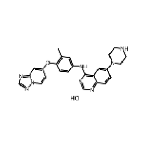 Cc1cc(Nc2ncnc3ccc(N4CCNCC4)cc23)ccc1Oc1ccn2ncnc2c1.Cl